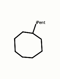 CCCC(C)C1CCCCCCC1